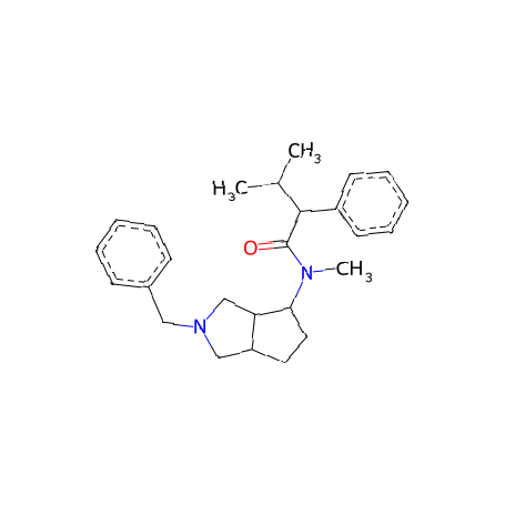 CC(C)C(C(=O)N(C)C1CCC2CN(Cc3ccccc3)CC21)c1ccccc1